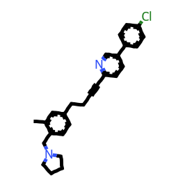 Cc1cc(CCC#Cc2ccc(-c3ccc(Cl)cc3)cn2)ccc1CN1CCCC1